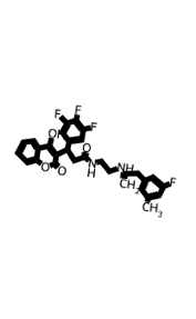 C=C(Cc1cc(C)cc(F)c1)NCCNC(=O)CC(c1cc(F)c(F)c(F)c1)c1c(O)c2ccccc2oc1=O